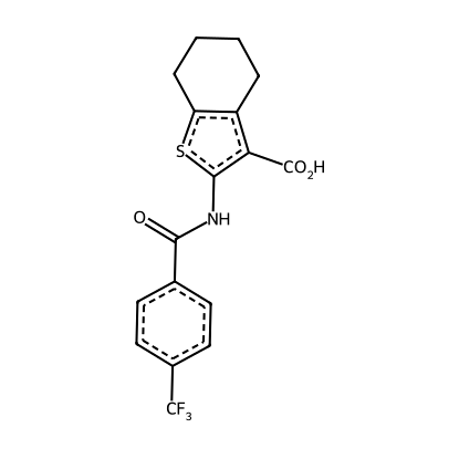 O=C(Nc1sc2c(c1C(=O)O)CCCC2)c1ccc(C(F)(F)F)cc1